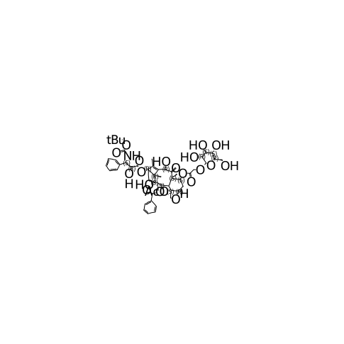 CC(=O)O[C@@]12CO[C@@H]1C[C@H](OC(=O)COC1O[C@H](CO)[C@@H](O)[C@H](O)[C@H]1O)[C@@]1(C)C(=O)[C@H](O)C3=C(C)[C@]4(OC(=O)[C@H](O)[C@@H](NC(=O)OC(C)(C)C)c5ccccc5)C[C@@](O)([C@@H](OC(=O)c5ccccc5)C12)[C@@]34C